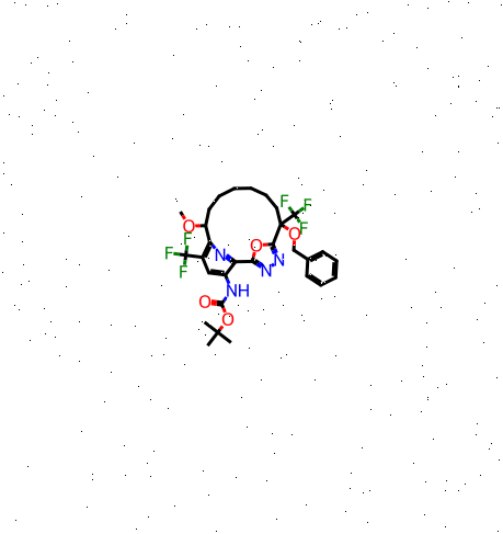 COC1CCCCCCC(OCc2ccccc2)(C(F)(F)F)c2nnc(o2)-c2nc1c(C(F)(F)F)cc2NC(=O)OC(C)(C)C